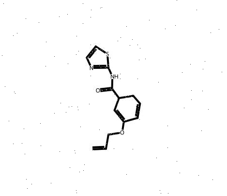 C=CCOC1=CC(C(=O)Nc2nccs2)CC=C1